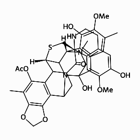 COc1cc2c(cc1O)CCN[C@]21CS[C@H]2C3c4c(OC(C)=O)c(C)c5c(c4C(CC3C1=O)N1C2[C@@H]2c3c(cc(C)c(OC)c3O)CC1(O)CN2C)OCO5